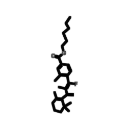 C=C(C1=C(C)CCCC1(C)C)/C(C)=C(\F)c1ccc(C(=O)OCCCCCC)cc1C